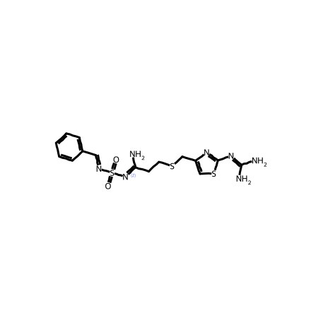 NC(N)=Nc1nc(CSCC/C(N)=N/S(=O)(=O)N=Cc2ccccc2)cs1